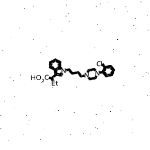 CCC(C(=O)O)c1cn(CCCCN2CCN(c3ccccc3Cl)CC2)c2ccccc12